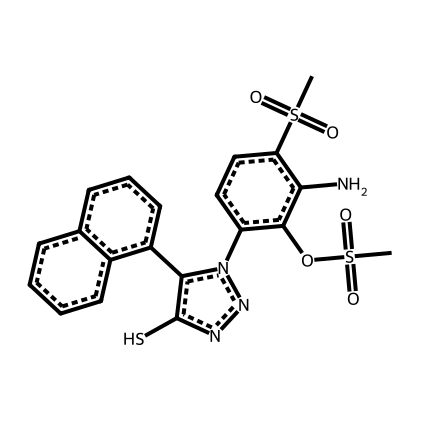 CS(=O)(=O)Oc1c(-n2nnc(S)c2-c2cccc3ccccc23)ccc(S(C)(=O)=O)c1N